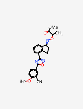 COC(=O)C(C)O/N=C1\CCc2c1cccc2-c1noc(-c2ccc(OC(C)C)c(C#N)c2)n1